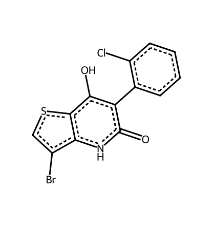 O=c1[nH]c2c(Br)csc2c(O)c1-c1ccccc1Cl